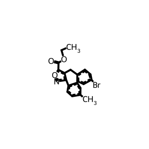 CCOC(=O)c1onc(-c2ccc(C)cc2)c1Cc1ccc(Br)cc1